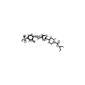 CC(C)OC(=O)N1CCC(c2nc(CNc3ccc(S(C)(=O)=O)cc3F)cs2)CC1